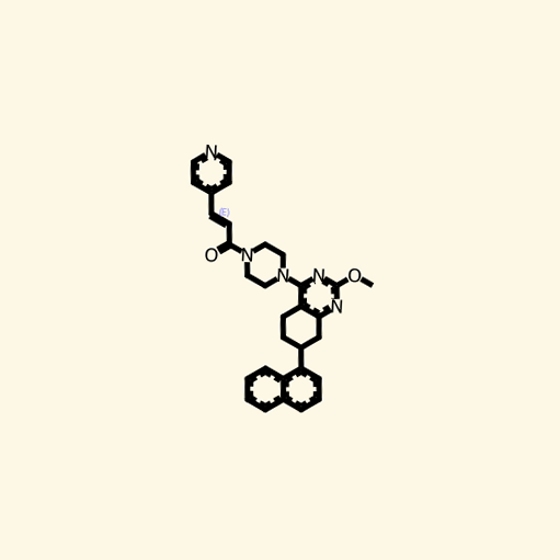 COc1nc2c(c(N3CCN(C(=O)/C=C/c4ccncc4)CC3)n1)CCC(c1cccc3ccccc13)C2